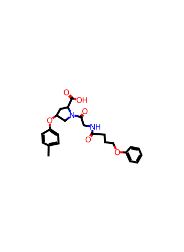 Cc1ccc(OC2CC(C(=O)O)N(C(=O)CNC(=O)CCCOc3ccccc3)C2)cc1